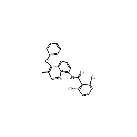 Cc1cnc2c(NC(=O)c3c(Cl)cccc3Cl)cccc2c1Oc1ccccc1